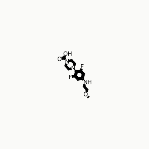 COCCNc1cc(F)c(N2CCN(C(=O)O)CC2)c(F)c1